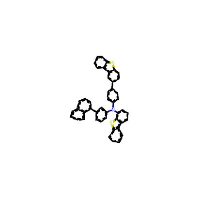 c1cc(-c2cccc3ccccc23)cc(N(c2ccc(-c3ccc4sc5ccccc5c4c3)cc2)c2cccc3c2sc2ccccc23)c1